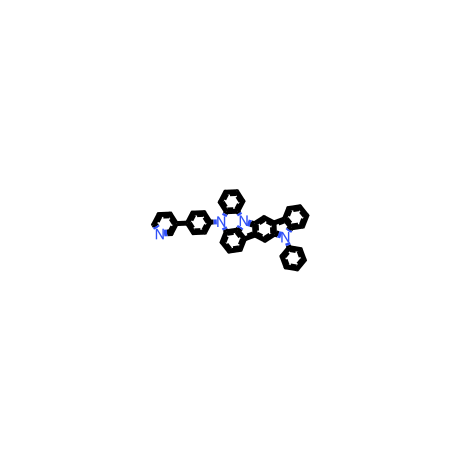 c1ccc(-n2c3ccccc3c3cc4c(cc32)c2cccc3c2n4-c2ccccc2N3c2ccc(-c3cccnc3)cc2)cc1